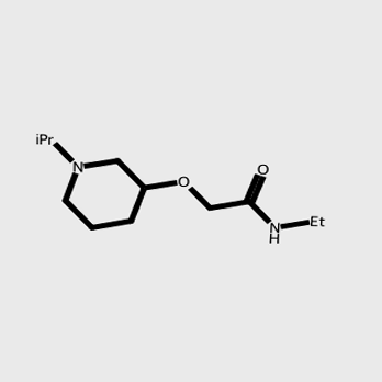 CCNC(=O)COC1CCCN(C(C)C)C1